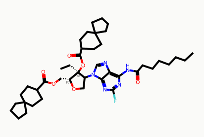 CCCCCCCC(=O)Nc1nc(F)nc2c1ncn2C1CO[C@H](COC(=O)C2CCC3(CCCC3)CC2)[C@@]1(CC)OC(=O)C1CCC2(CCCC2)CC1